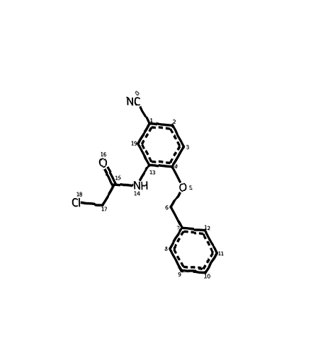 N#Cc1ccc(OCc2ccccc2)c(NC(=O)CCl)c1